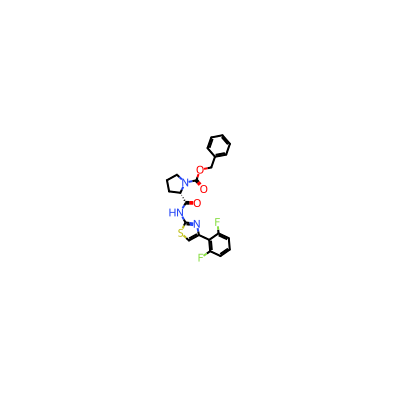 O=C(Nc1nc(-c2c(F)cccc2F)cs1)[C@@H]1CCCN1C(=O)OCc1ccccc1